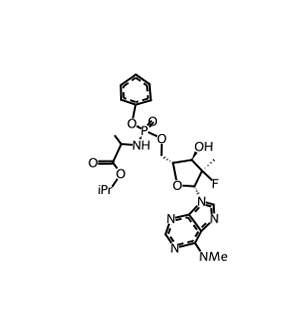 CNc1ncnc2c1ncn2[C@@H]1O[C@H](CO[P@@](=O)(NC(C)C(=O)OC(C)C)Oc2ccccc2)[C@@H](O)[C@@]1(C)F